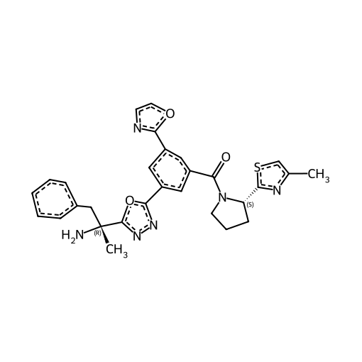 Cc1csc([C@@H]2CCCN2C(=O)c2cc(-c3ncco3)cc(-c3nnc([C@](C)(N)Cc4ccccc4)o3)c2)n1